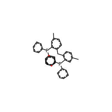 Cc1ccc(Cc2ccc(C)cc2P(c2ccccc2)c2ccccc2)c(P(c2ccccc2)c2ccccc2)c1